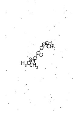 C=CC(=C)Oc1ccc(-c2ccc(-c3ccc(OC(=O)C(=C)C)cc3)c3ccccc23)cc1